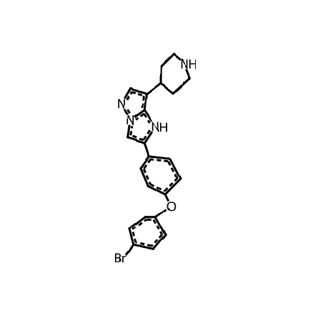 Brc1ccc(Oc2ccc(-c3cn4ncc(C5CCNCC5)c4[nH]3)cc2)cc1